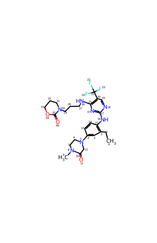 CCc1cc(N2CCN(C)C(=O)C2)ccc1Nc1ncc(C(F)(F)F)c(NCCCN2CCCOC2=O)n1